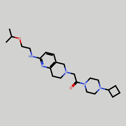 CC(C)OCCNc1ccc2c(n1)CCN(CC(=O)N1CCN(C3CCC3)CC1)C2